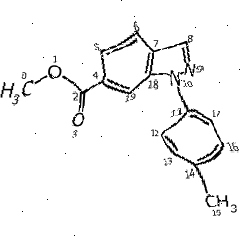 COC(=O)c1ccc2cnn(-c3ccc(C)cc3)c2c1